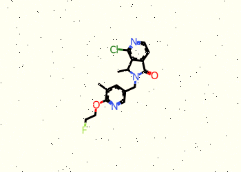 Cc1cc(CN2C(=O)c3ccnc(Cl)c3C2C)cnc1OCCF